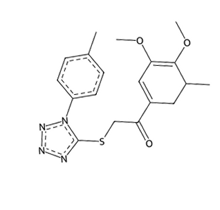 COC1=C(OC)C(C)CC(C(=O)CSc2nnnn2-c2ccc(C)cc2)=C1